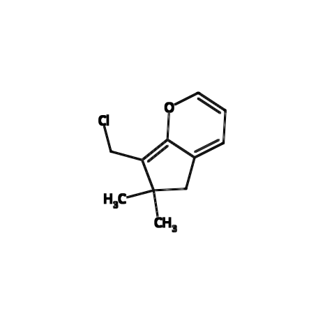 CC1(C)CC2=CC=COC2=C1CCl